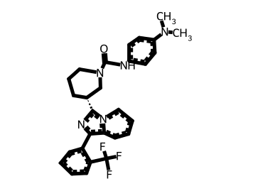 CN(C)c1ccc(NC(=O)N2CCC[C@@H](c3nc(-c4ccccc4C(F)(F)F)c4ccccn34)C2)cc1